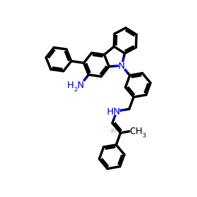 C/C(=C\NCc1cccc(-n2c3ccccc3c3cc(-c4ccccc4)c(N)cc32)c1)c1ccccc1